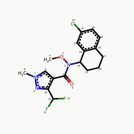 CON(C(=O)c1cn(C)nc1C(F)F)C1CCCc2ccc(Cl)cc21